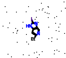 CCc1cc2[nH]c(I)nc2cn1